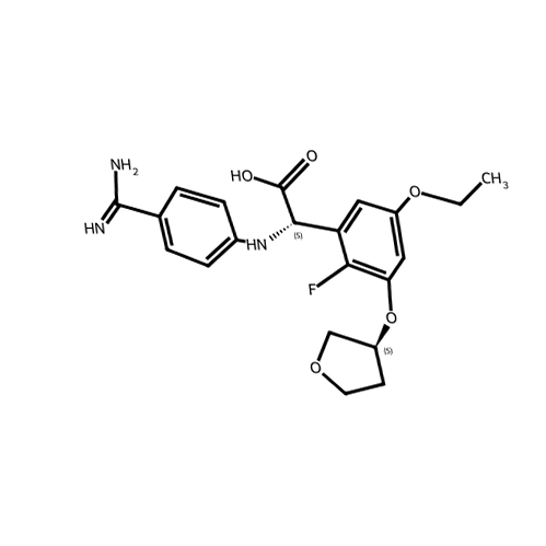 CCOc1cc(O[C@H]2CCOC2)c(F)c([C@H](Nc2ccc(C(=N)N)cc2)C(=O)O)c1